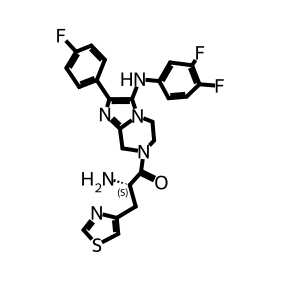 N[C@@H](Cc1cscn1)C(=O)N1CCn2c(nc(-c3ccc(F)cc3)c2Nc2ccc(F)c(F)c2)C1